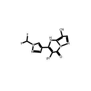 CC(C)c1c(-c2cnn(C(F)F)c2)[nH]c2c(C#N)cnn2c1=O